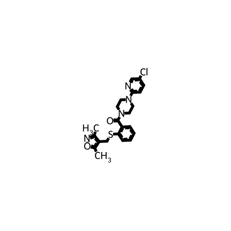 Cc1noc(C)c1CSc1ccccc1C(=O)N1CCN(c2ccc(Cl)cn2)CC1